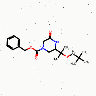 CC(C)(C)[SiH2]OC(C)(C)C1CN(C(=O)OCc2ccccc2)CC(=O)N1